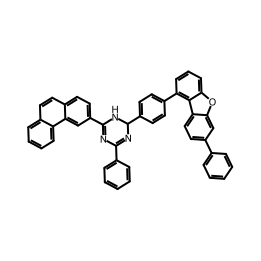 c1ccc(C2=NC(c3ccc(-c4cccc5oc6cc(-c7ccccc7)ccc6c45)cc3)NC(c3ccc4ccc5ccccc5c4c3)=N2)cc1